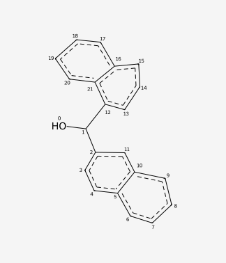 OC(c1ccc2ccccc2c1)c1cccc2ccccc12